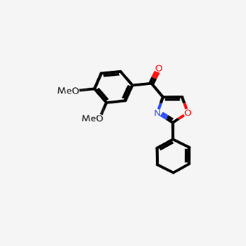 COc1ccc(C(=O)c2coc(C3=CCCC=C3)n2)cc1OC